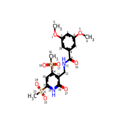 COc1cc(OC)cc(C(=O)NCc2c(S(C)(=O)=O)cc(S(C)(=O)=O)[nH]c2=O)c1